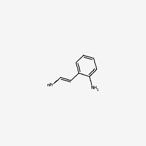 CCCC=Cc1ccccc1N